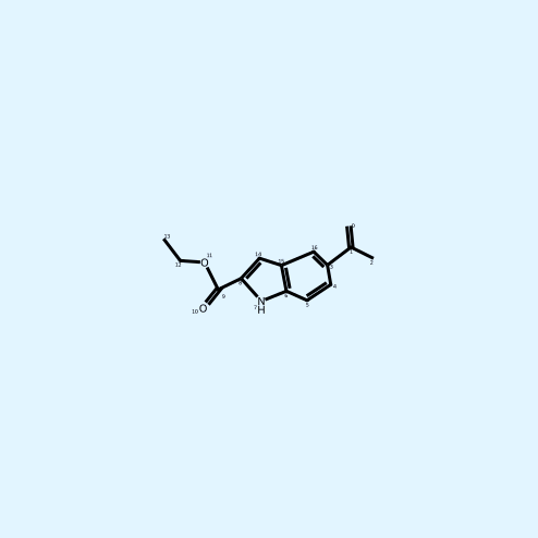 C=C(C)c1ccc2[nH]c(C(=O)OCC)cc2c1